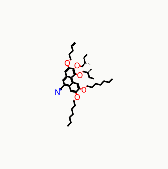 C=CCCCOc1cc2cc(C#N)c3cc(OCCCCCCC)c(OCCCCCCC)cc3c2c(OC[C@@H](C)CC)c1OC[C@@H](C)CC